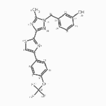 Cc1nc(-c2nc(-c3ccc(OC(F)(F)F)cc3)cs2)nn1Cc1cccc(O)c1